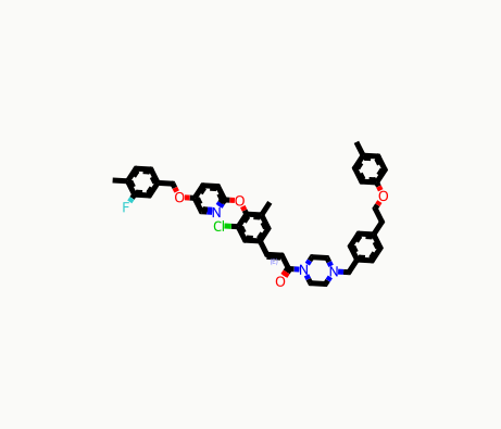 Cc1ccc(OCCc2ccc(CN3CCN(C(=O)/C=C/c4cc(C)c(Oc5ccc(OCc6ccc(C)c(F)c6)cn5)c(Cl)c4)CC3)cc2)cc1